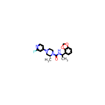 CC(NC(=O)N1CCN(c2ccnc(F)c2)C[C@H]1C)c1cccc2c1OCO2